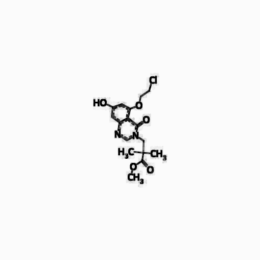 COC(=O)C(C)(C)Cn1cnc2cc(O)cc(OCCCl)c2c1=O